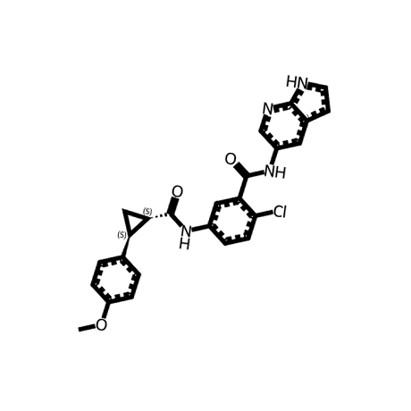 COc1ccc([C@H]2C[C@@H]2C(=O)Nc2ccc(Cl)c(C(=O)Nc3cnc4[nH]ccc4c3)c2)cc1